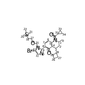 CC1CCc2c(ccc(-c3ncc(Br)n3COCC[Si](C)(C)C)c2OC2CCC2)N1C(=O)C1CC1